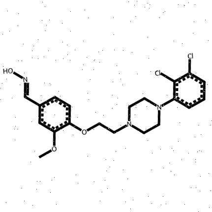 COc1cc(C=NO)ccc1OCCN1CCN(c2cccc(Cl)c2Cl)CC1